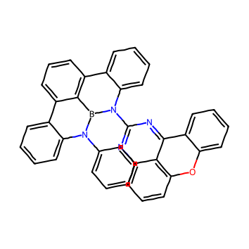 c1ccc(N2B3c4c(cccc4-c4ccccc4N3c3nc4c5c(cccc5n3)Oc3ccccc3-4)-c3ccccc32)cc1